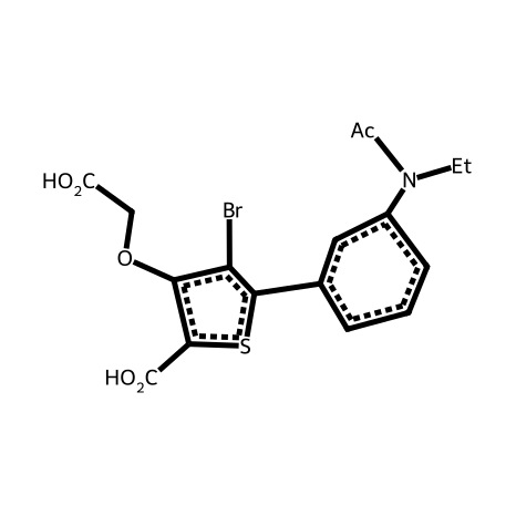 CCN(C(C)=O)c1cccc(-c2sc(C(=O)O)c(OCC(=O)O)c2Br)c1